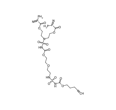 C#CCCCOC(=O)NS(=O)(=O)NCCOCCOC(=O)NS(=O)(=O)N(CCOC(=O)P(#N)P)CCOC(=O)P(#N)P